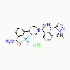 Cl.Cn1nccc1-c1nnc(N2CCC(c3cccc(C(N)=O)c3C(F)(F)F)CC2)c2ccccc12